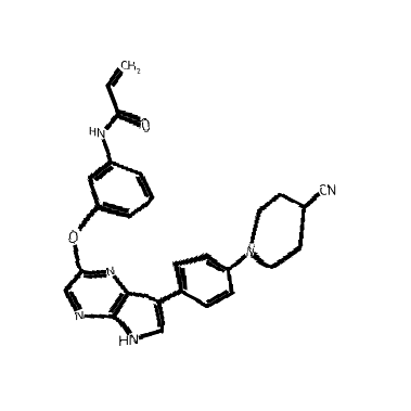 C=CC(=O)Nc1cccc(Oc2cnc3[nH]cc(-c4ccc(N5CCC(C#N)CC5)cc4)c3n2)c1